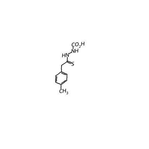 Cc1ccc(CC(=S)NNC(=O)O)cc1